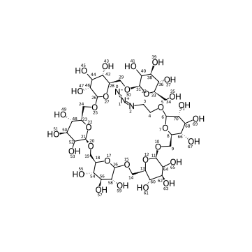 [N-]=[N+]=NCCOC1O[C@H](CO[C@@H]2O[C@H](COC3O[C@H](CO[C@@H]4O[C@H](COC5O[C@H](CO[C@@H]6O[C@H](CO)[C@@H](O)[C@H](O)C6O)[C@@H](O)C(O)[C@H]5O)[C@@H](O)[C@H](O)C4O)[C@@H](O)[C@H](O)[C@H]3O)[C@@H](O)[C@H](O)C2O)[C@@H](O)C(O)[C@H]1O